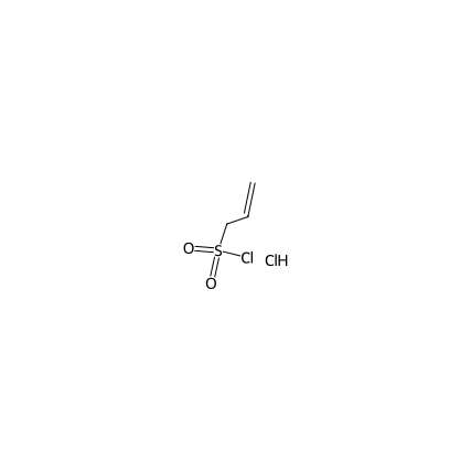 C=CCS(=O)(=O)Cl.Cl